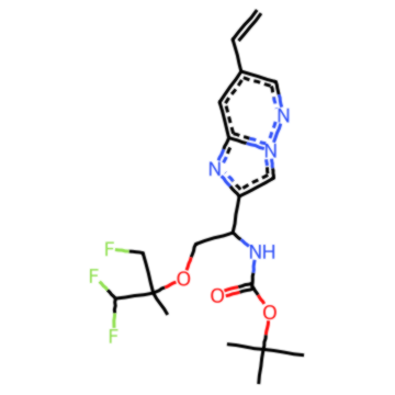 C=Cc1cnn2cc(C(COC(C)(CF)C(F)F)NC(=O)OC(C)(C)C)nc2c1